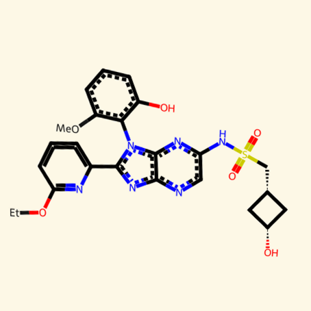 CCOC1=NC(c2nc3ncc(NS(=O)(=O)C[C@H]4C[C@@H](O)C4)nc3n2-c2c(O)cccc2OC)=C=C=C1